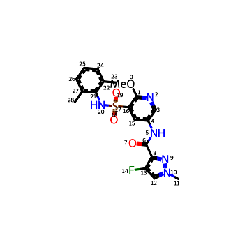 COc1ncc(NC(=O)c2nn(C)cc2F)cc1S(=O)(=O)Nc1c(C)cccc1C